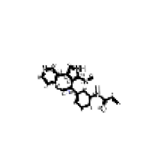 C=CC(=O)NC1CCC=C(/C(=C/C)c2c(-c3cccnc3)c[nH]c2N=C)C1